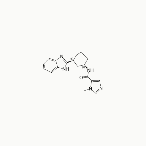 Cn1cncc1C(=O)N[C@@H]1CCC[C@H](c2nc3ccccc3[nH]2)C1